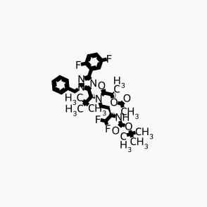 CC(=O)O[C@@H](C)C(=O)N(CC[C@@H](NC(=O)OC(C)(C)C)C(F)F)[C@@H](c1nc(-c2cc(F)ccc2F)nn1Cc1ccccc1)C(C)(C)C